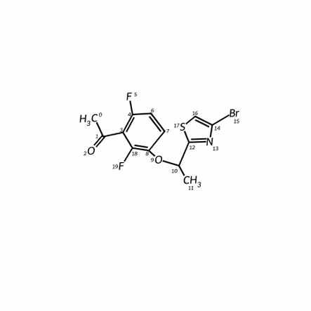 CC(=O)c1c(F)ccc(OC(C)c2nc(Br)cs2)c1F